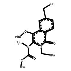 CCCCOc1c(N(C)C(=O)OC(C)(C)C)n(CC(C)(C)C)c(=O)c2ccc(CO)cc12